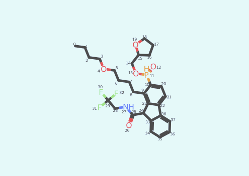 CCCCOCCCCc1c([PH](=O)OCC2CCCO2)ccc2c1C(C(=O)NCC(F)(F)F)c1ccccc1-2